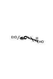 CCOC(=O)c1cnn(C2CCN(CCOCCOCCNC=O)CC2)c1